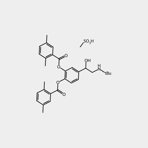 CS(=O)(=O)O.Cc1ccc(C)c(C(=O)Oc2ccc(C(O)CNC(C)(C)C)cc2OC(=O)c2cc(C)ccc2C)c1